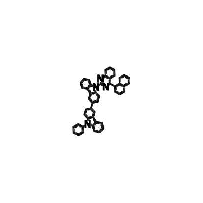 c1ccc(-n2c3ccccc3c3cc(-c4ccc5c(c4)c4ccccc4n5-c4nc(-c5cccc6ccccc56)c5ccccc5n4)ccc32)cc1